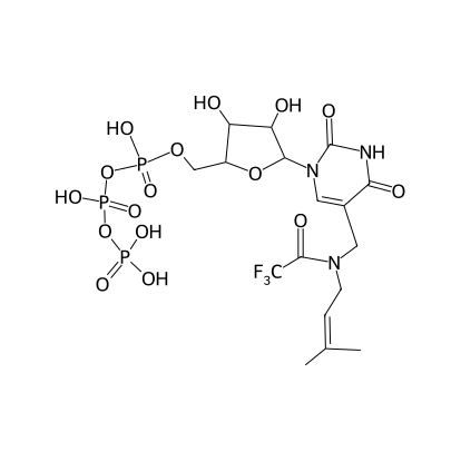 CC(C)=CCN(Cc1cn(C2OC(COP(=O)(O)OP(=O)(O)OP(=O)(O)O)C(O)C2O)c(=O)[nH]c1=O)C(=O)C(F)(F)F